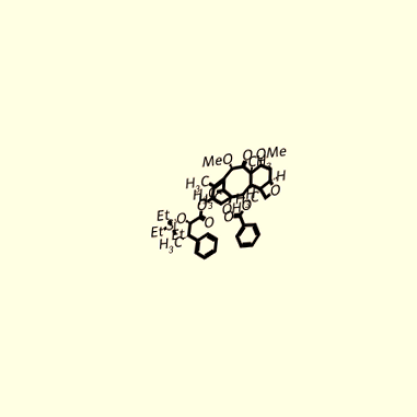 CC[Si](CC)(CC)O[C@@H](C(=O)OC1C[C@@]2(O)[C@@H](OC(=O)c3ccccc3)[C@@H]3[C@]4(C)CO[C@@H]4C[C@H](OC)[C@@]3(C)C(=O)[C@H](OC)C(=C1C)C2(C)C)[C@@H](C)c1ccccc1